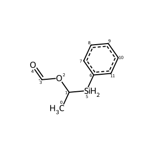 CC(O[C]=O)[SiH2]c1ccccc1